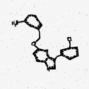 Bc1cccc(COc2ccc3ncc(-c4cccc(Cl)c4)n3n2)c1